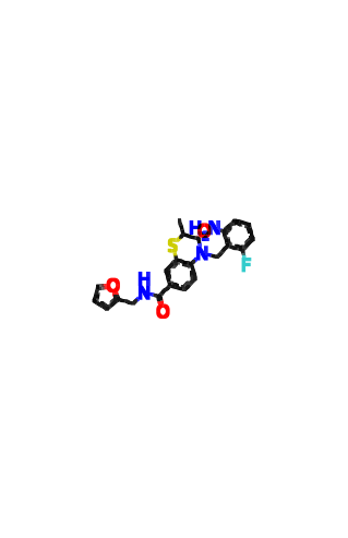 CC1Sc2cc(C(=O)NCc3ccco3)ccc2N(Cc2c(N)cccc2F)C1=O